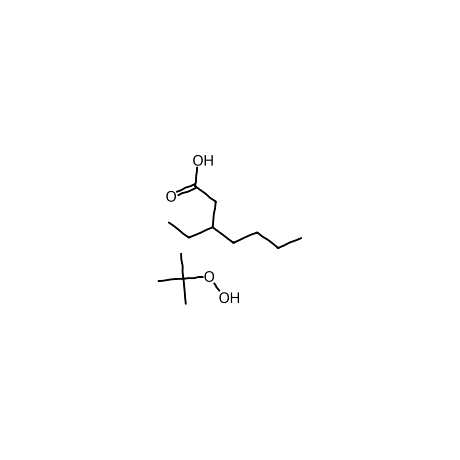 CC(C)(C)OO.CCCCC(CC)CC(=O)O